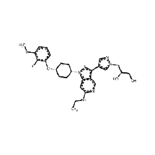 CCNc1cc2c(cn1)c(-c1cnn(C[C@H](O)CO)c1)nn2[C@H]1CC[C@@H](Oc2cccc(OC)c2F)CC1